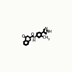 Cc1cc(NC(=O)C2CC(=O)c3ccccc3C2)ccc1-c1cn[nH]c1